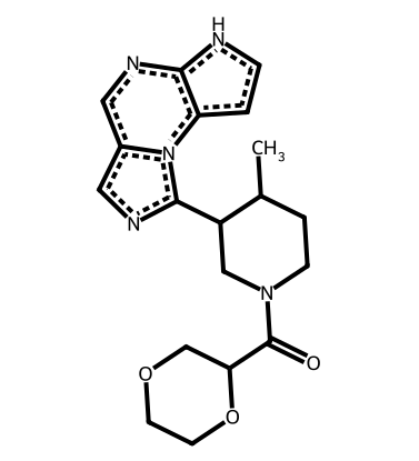 CC1CCN(C(=O)C2COCCO2)CC1c1ncc2cnc3[nH]ccc3n12